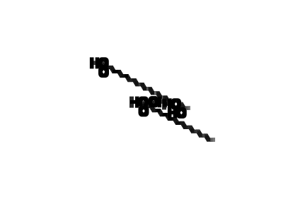 CC(O)CO.CCCCCCCCCCCCCCCCC(O)C(=O)O.CCCCCCCCCCCCCCCCCC(=O)O